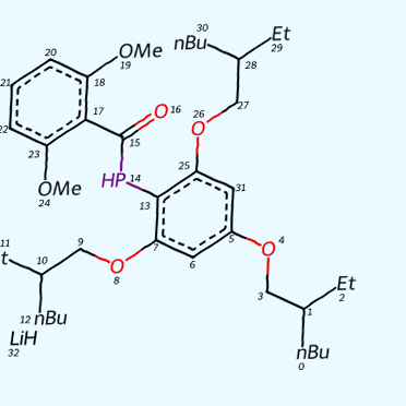 CCCCC(CC)COc1cc(OCC(CC)CCCC)c(PC(=O)c2c(OC)cccc2OC)c(OCC(CC)CCCC)c1.[LiH]